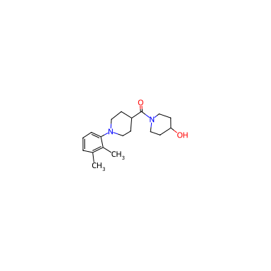 Cc1cccc(N2CCC(C(=O)N3CCC(O)CC3)CC2)c1C